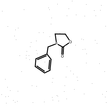 O=C1OCCP1Cc1ccccc1